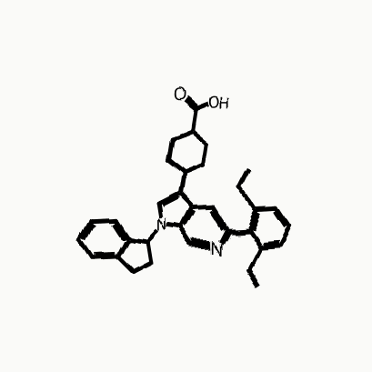 CCc1cccc(CC)c1-c1cc2c(C3CCC(C(=O)O)CC3)cn(C3CCc4ccccc43)c2cn1